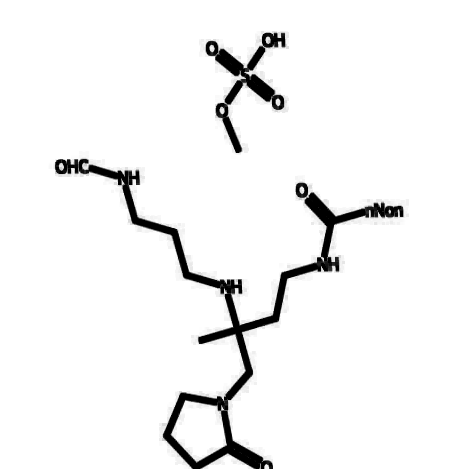 CCCCCCCCCC(=O)NCCC(C)(CN1CCCC1=O)NCCCNC=O.COS(=O)(=O)O